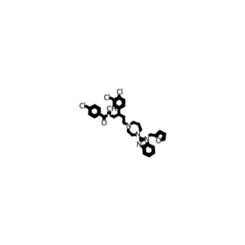 CN(CC(CCN1CCCN(c2nc3ccccc3n2Cc2ccco2)CC1)c1ccc(Cl)c(Cl)c1)C(=O)c1ccc(Cl)cc1